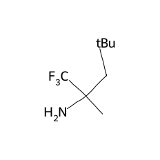 CC(C)(C)CC(C)(N)C(F)(F)F